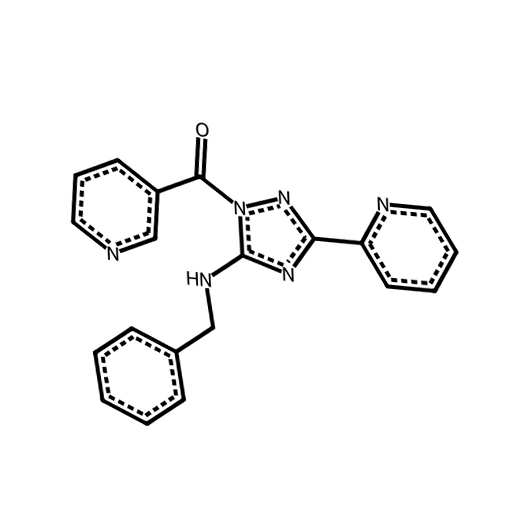 O=C(c1cccnc1)n1nc(-c2ccccn2)nc1NCc1ccccc1